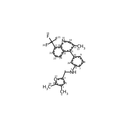 Cc1cc(CNc2cccc(-c3c(C)cnc4c(C(F)(F)F)cccc34)c2)oc1C